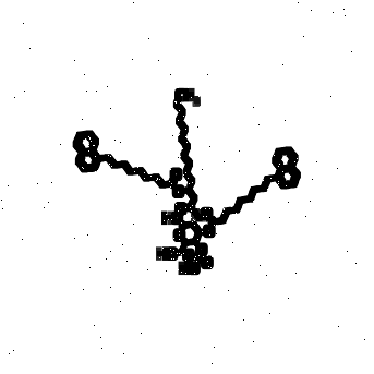 CCCCCCCCCCC[C@@H](CC(=O)N[C@H]1C(O)O[C@H](CO)[C@@H](OS(=O)(=O)O)[C@@H]1OC(=O)CCCCCCCCc1cccc2ccccc12)OC(=O)CCCCCCCCc1cccc2ccccc12